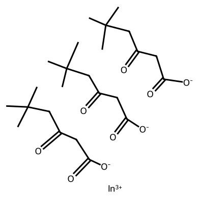 CC(C)(C)CC(=O)CC(=O)[O-].CC(C)(C)CC(=O)CC(=O)[O-].CC(C)(C)CC(=O)CC(=O)[O-].[In+3]